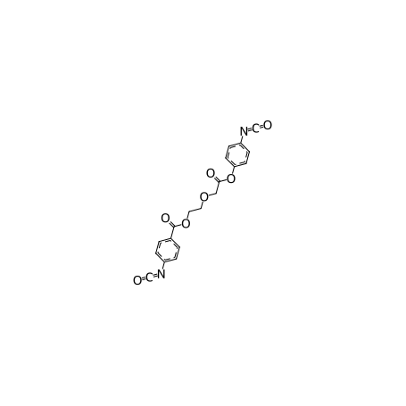 O=C=Nc1ccc(OC(=O)COCCOC(=O)c2ccc(N=C=O)cc2)cc1